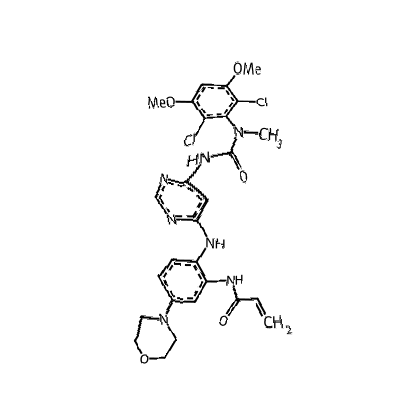 C=CC(=O)Nc1cc(N2CCOCC2)ccc1Nc1cc(NC(=O)N(C)c2c(Cl)c(OC)cc(OC)c2Cl)ncn1